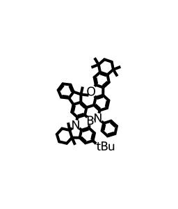 CC(C)(C)c1cc2c3c(c1)C1(C)CCCCC1(C)N3c1cc3c(c4c1B2N(c1ccccc1)c1ccc2c(oc5cc6c(cc52)C(C)(C)CCC6(C)C)c1-4)C(C)(C)c1ccccc1-3